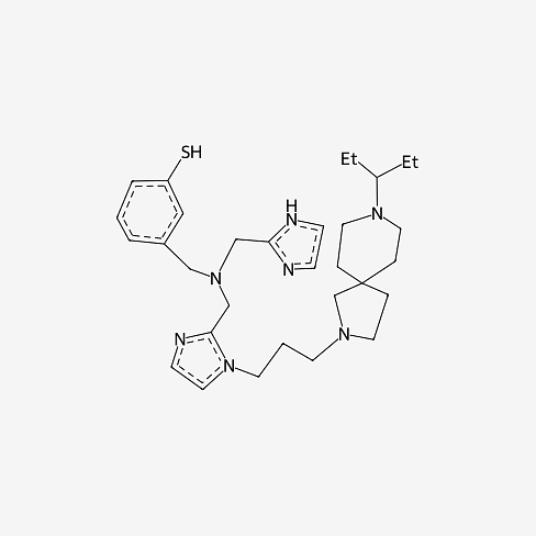 CCC(CC)N1CCC2(CCN(CCCn3ccnc3CN(Cc3cccc(S)c3)Cc3ncc[nH]3)C2)CC1